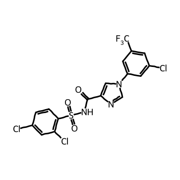 O=C(NS(=O)(=O)c1ccc(Cl)cc1Cl)c1cn(-c2cc(Cl)cc(C(F)(F)F)c2)cn1